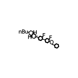 CCCCC1CC[C@@H]2C[C@H](c3ccc(-c4ccc(OCc5ccccc5)c(F)c4)c(F)c3)CC[C@@H]2C1